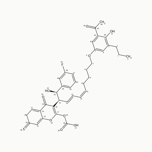 CCCc1cc(OCCCC/C=C\C=C\[C@@H](c2c(OC(=O)O)oc3c(c2=O)=CCC(=S)C=3)[C@@H](O)c2cccc(F)c2)cc(C(C)=O)c1O